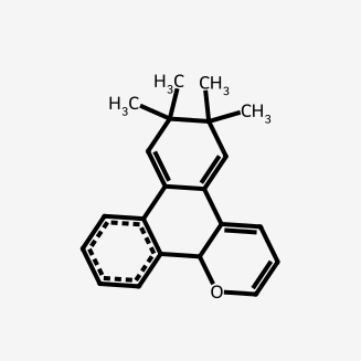 CC1(C)C=C2C(=CC1(C)C)c1ccccc1C1OC=CC=C21